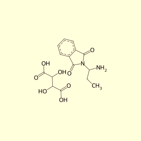 CCC(N)N1C(=O)c2ccccc2C1=O.O=C(O)C(O)C(O)C(=O)O